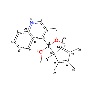 C[O][Ti]([O]C)([c]1c(C)cnc2ccccc12)[C]1(C)C(C)=C(C)C(C)=C1C